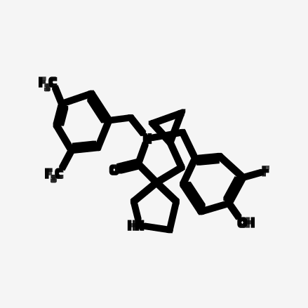 O=C(N(Cc1cc(C(F)(F)F)cc(C(F)(F)F)c1)Cc1ccc(O)c(F)c1)C1(CC2CC2)CCNC1